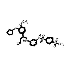 COc1ccc(C(CC=O)CNc2cccc(NS(=O)(=O)c3ccc(S(C)(=O)=O)cc3)c2)cc1OC1CCCC1